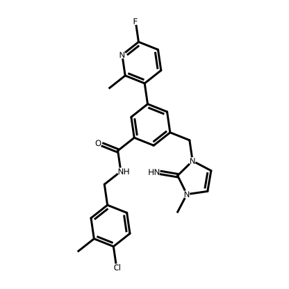 Cc1cc(CNC(=O)c2cc(Cn3ccn(C)c3=N)cc(-c3ccc(F)nc3C)c2)ccc1Cl